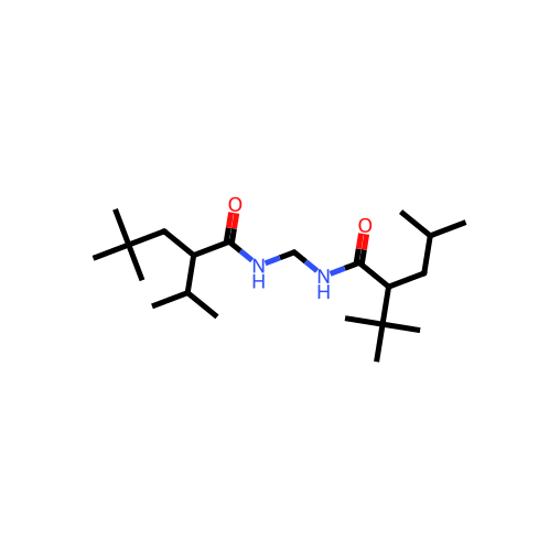 CC(C)CC(C(=O)NCNC(=O)C(CC(C)(C)C)C(C)C)C(C)(C)C